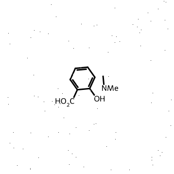 CNC.O=C(O)c1ccccc1O